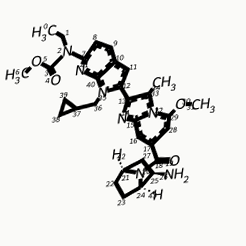 CCN(C(=O)OC)c1ccc2cc(-c3nc4cc(C(=O)N5[C@H]6CC[C@@H]5[C@H](N)C6)cc(OC)n4c3C)n(CC3CC3)c2n1